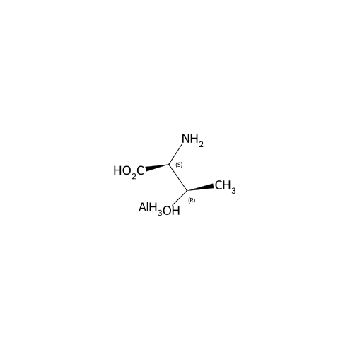 C[C@@H](O)[C@H](N)C(=O)O.[AlH3]